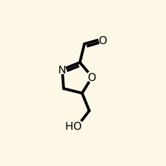 O=CC1=NCC(CO)O1